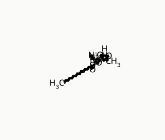 CCCCCCCCCCCCCCCC(=O)OC[C@H]1O[C@@H](n2cc(C)c(=O)[nH]c2=O)CC1N=[N+]=[N-]